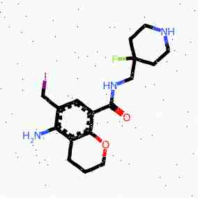 Nc1c(CI)cc(C(=O)NCC2(F)CCNCC2)c2c1CCCO2